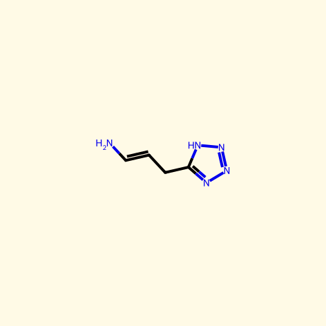 NC=CCc1nnn[nH]1